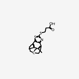 CC1=C2CCCCCC(=C(C)C1C)c1sc(SCCC(=O)O)nc12